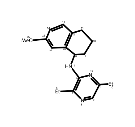 CCc1cnc(CC)c(NC2CCCc3ccc(OC)cc32)n1